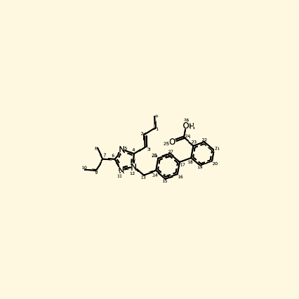 CCC=Cc1nc(C(C)CC)nn1Cc1ccc(-c2ccccc2C(=O)O)cc1